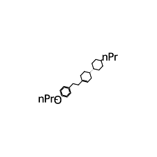 CCCOc1ccc(CCC2=CCC([C@H]3CC[C@H](CCC)CC3)CC2)cc1